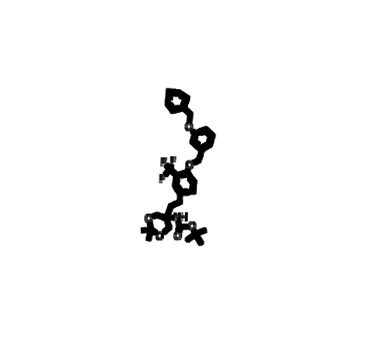 CC(C)(C)OC(=O)NC1(CCc2ccc(OCc3cccc(OCc4ccccc4)c3)c(C(F)(F)F)c2)COC(C)(C)OC1